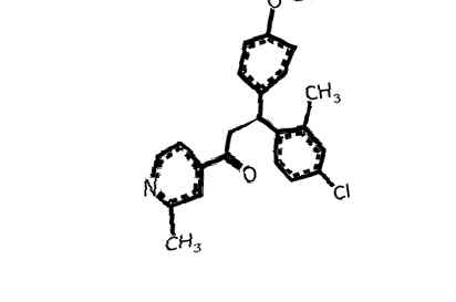 CCOc1ccc([C@H](CC(=O)c2ccnc(C)c2)c2ccc(Cl)cc2C)cc1